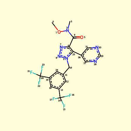 CON(C)C(=O)c1nnn(Cc2cc(C(F)(F)F)cc(C(F)(F)F)c2)c1-c1cncnc1